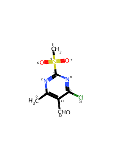 Cc1nc(S(C)(=O)=O)nc(Cl)c1C=O